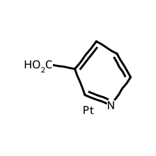 O=C(O)c1cccnc1.[Pt]